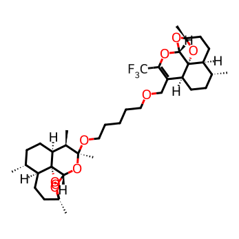 C[C@@H]1CC[C@H]2[C@@H](C)[C@@](C)(OCCCCCOCC3=C(C(F)(F)F)O[C@@H]4O[C@]5(C)CC[C@H]6[C@H](C)CC[C@@H]3[C@@]46O5)O[C@@H]3O[C@]4(C)CC[C@@H]1[C@]32OO4